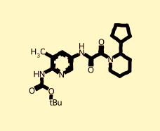 Cc1cc(NC(=O)C(=O)N2CCCCC2C2CCCC2)cnc1NC(=O)OC(C)(C)C